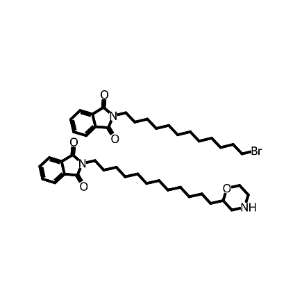 O=C1c2ccccc2C(=O)N1CCCCCCCCCCCCBr.O=C1c2ccccc2C(=O)N1CCCCCCCCCCCCC1CNCCO1